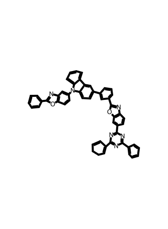 C1=CC(c2nc(-c3ccccc3)nc(-c3ccc4nc(-c5cccc(-c6ccc7c(c6)c6ccccc6n7-c6ccc7oc(-c8ccccc8)nc7c6)c5)oc4c3)n2)=CCC1